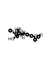 CC1(CC(CSc2ccccc2)Nc2ccc(S(=O)(=O)NC(=O)c3ccc(N4CCC([C@@H](O)c5ccccc5-c5ccc(Cl)cc5)CC4)cc3)cc2S(=O)(=O)C(F)(F)F)CCCN1CCO